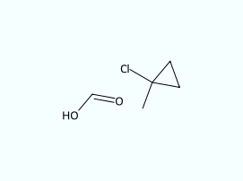 CC1(Cl)CC1.O=CO